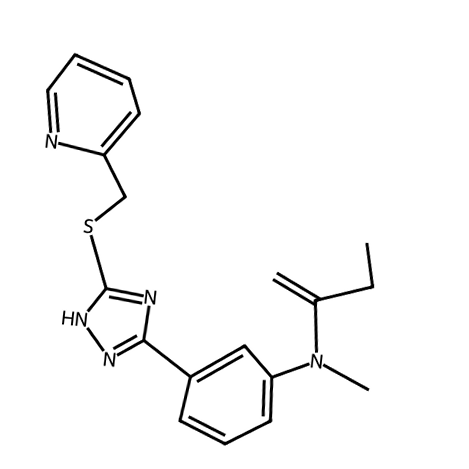 C=C(CC)N(C)c1cccc(-c2n[nH]c(SCc3ccccn3)n2)c1